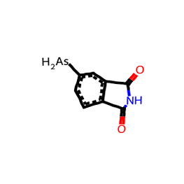 O=C1NC(=O)c2cc([AsH2])ccc21